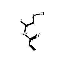 C=CC(=O)NC(C)CCCl